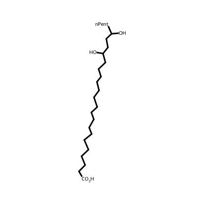 CCCCCC(O)CCC(O)CCCCCCCCCCCCCCCCC(=O)O